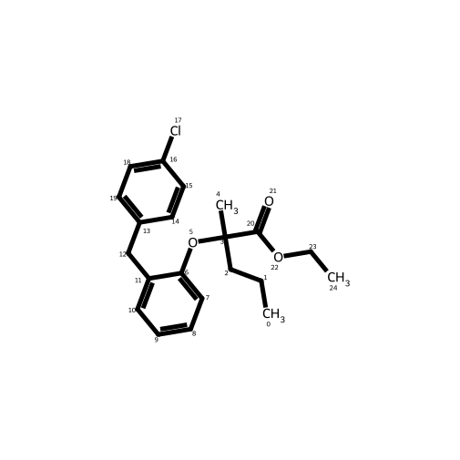 CCCC(C)(Oc1ccccc1Cc1ccc(Cl)cc1)C(=O)OCC